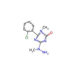 CN(N)c1nc(-c2ccccc2Cl)n(C)c(=O)n1